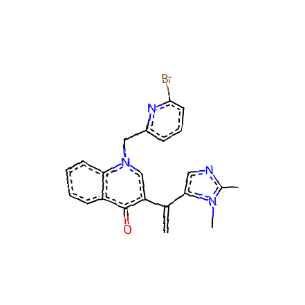 C=C(c1cn(Cc2cccc(Br)n2)c2ccccc2c1=O)c1cnc(C)n1C